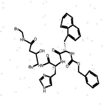 CCC(C)CNC(=O)CC(O)C(NC(=O)[C@H](Cc1c[nH]cn1)NC(=O)[C@H](Cc1cccc2ccccc12)NC(=O)OCc1ccccc1)C(C)CC